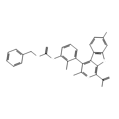 Cc1nc(C(=O)O)c2[nH]c3cc(Br)ccc3c2c1-c1cccc(NC(=O)OCc2ccccc2)c1C